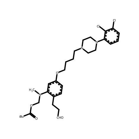 CCC(C)C(=O)OCN(C)c1cc(OCCCCN2CCN(c3cccc(Cl)c3Cl)CC2)ccc1CCC=O